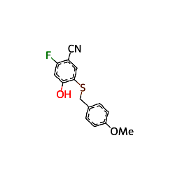 COc1ccc(CSc2cc(C#N)c(F)cc2O)cc1